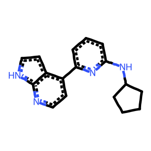 c1cc(NC2CCCC2)nc(-c2ccnc3[nH]ccc23)c1